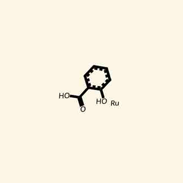 O=C(O)c1ccccc1O.[Ru]